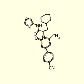 Cc1cc(-c2ccc(C#N)cc2)cc(=O)n1C(CC1CCCCC1)C(=O)Nc1nccs1